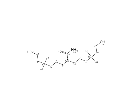 CC(C)(CCO)CCCN(CCCC(C)(C)CCO)C(N)=S